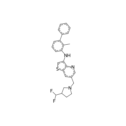 Cc1c(Nc2csc3cc(CN4CCC(C(F)F)C4)cnc23)cccc1-c1ccccc1